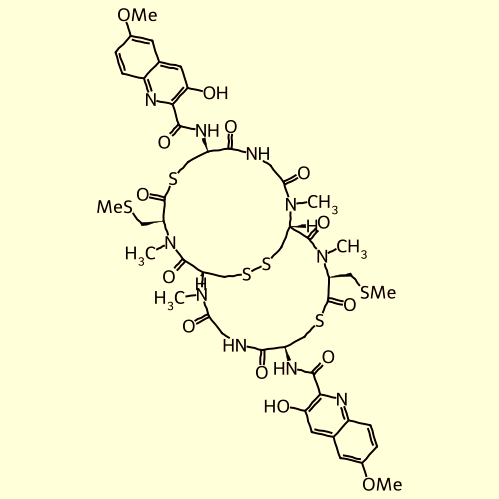 COc1ccc2nc(C(=O)N[C@@H]3CSC(=O)[C@H](CSC)N(C)C(=O)[C@@H]4CSSC[C@@H](C(=O)N(C)[C@@H](CSC)C(=O)SC[C@@H](NC(=O)c5nc6ccc(OC)cc6cc5O)C(=O)NCC(=O)N4C)N(C)C(=O)CNC3=O)c(O)cc2c1